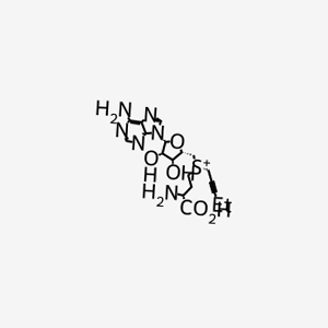 CCC#CC[S@+](CC[C@H](N)C(=O)O)C[C@H]1O[C@@H](n2cnc3c(N)ncnc32)[C@H](O)[C@@H]1O